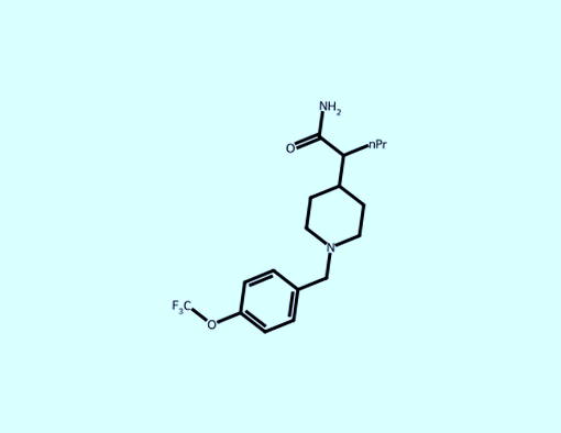 CCCC(C(N)=O)C1CCN(Cc2ccc(OC(F)(F)F)cc2)CC1